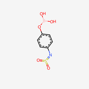 O=S(=O)=Nc1ccc(OB(O)O)cc1